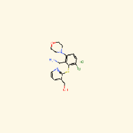 Cl.NCc1c(N2CCOCC2)ccc(Cl)c1Sc1ncccc1CO